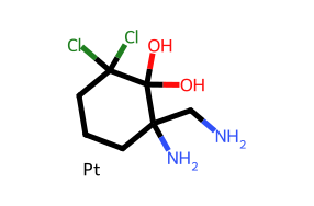 NCC1(N)CCCC(Cl)(Cl)C1(O)O.[Pt]